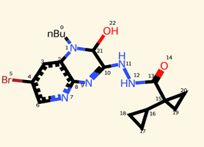 CCCCN1c2cc(Br)cnc2N=C(NNC(=O)C2(C3CC3)CC2)C1O